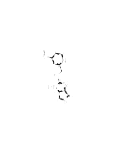 COc1ccnc(CSc2nc3cscc3[nH]2)c1